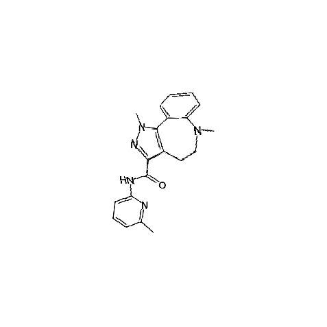 Cc1cccc(NC(=O)c2nn(C)c3c2CCN(C)c2ccccc2-3)n1